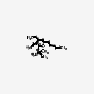 CCCCCCCC(CC)N(CC)C(=O)OC(C)(C)C